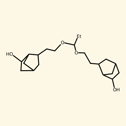 CCC(OCCC1CC2CC(O)C1C2)OCCC1CC2CC(O)C1C2